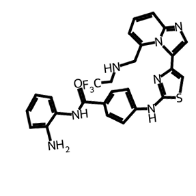 Nc1ccccc1NC(=O)c1ccc(Nc2nc(-c3cnc4cccc(CNCC(F)(F)F)n34)cs2)cc1